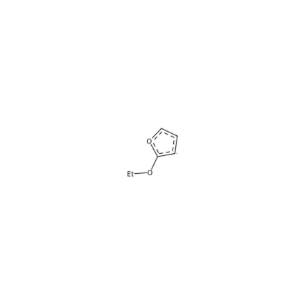 CCOc1[c]cco1